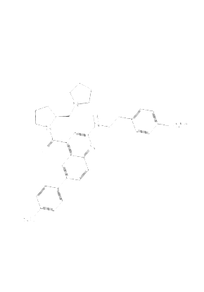 COc1ccc(CCNc2cc(C(=O)N3CCC[C@H]3CN3CCCC3)c3cc(-c4ccc(C#N)cc4)ccc3n2)cc1